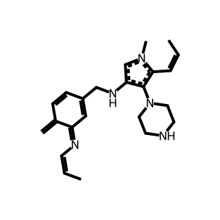 C=C1C=CC(CNc2cn(C)c(/C=C\C)c2N2CCNCC2)=C/C1=N/C=C\C